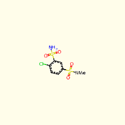 CNS(=O)(=O)c1ccc(Cl)c(S(N)(=O)=O)c1